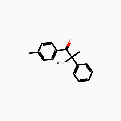 COC(C)(C(=O)c1ccc(C)cc1)c1ccccc1